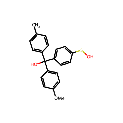 COc1ccc(C(O)(c2ccc(C)cc2)c2ccc(SO)cc2)cc1